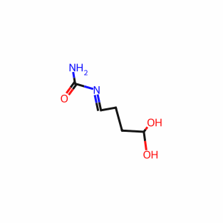 NC(=O)N=CCCC(O)O